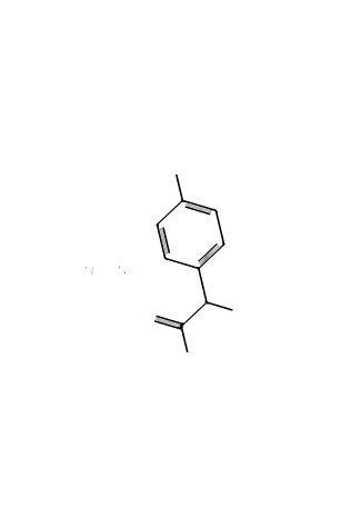 O=C([O-])C(O)c1ccc([O-])cc1.[Na+].[Na+]